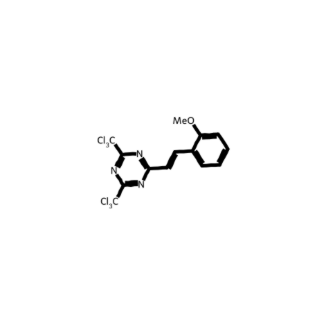 COc1ccccc1/C=C/c1nc(C(Cl)(Cl)Cl)nc(C(Cl)(Cl)Cl)n1